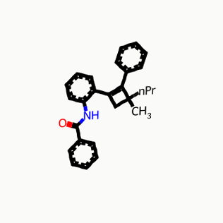 CCCC1(C)CC(c2ccccc2NC(=O)c2ccccc2)=C1c1ccccc1